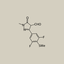 CSc1c(F)cc(C2=NN(C)C(=O)C2C=O)cc1F